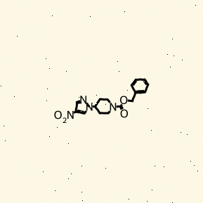 O=C(OCc1ccccc1)N1CCC(n2cc([N+](=O)[O-])cn2)CC1